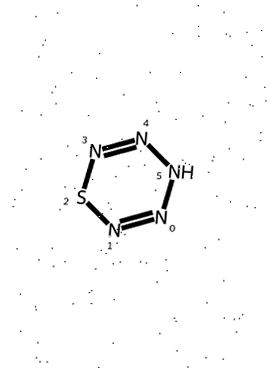 N1=NSN=NN1